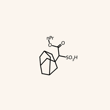 CCCOC(=O)C(C12CC3CC(CC(C3)C1)C2)S(=O)(=O)O